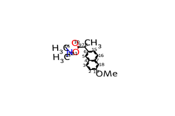 COc1ccc2cc(C(C)C(=O)ON(C)C)ccc2c1